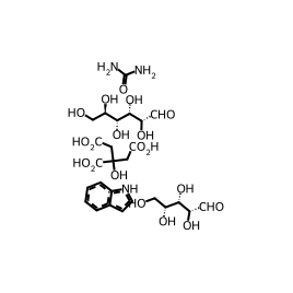 NC(N)=O.O=C(O)CC(O)(CC(=O)O)C(=O)O.O=C[C@H](O)[C@@H](O)[C@H](O)CO.O=C[C@H](O)[C@@H](O)[C@H](O)[C@H](O)CO.c1ccc2[nH]ccc2c1